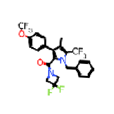 Cc1c(-c2ccc(OC(F)(F)F)cc2)c(C(=O)N2CC(F)(F)C2)n(Cc2ccccc2)c1C(F)(F)F